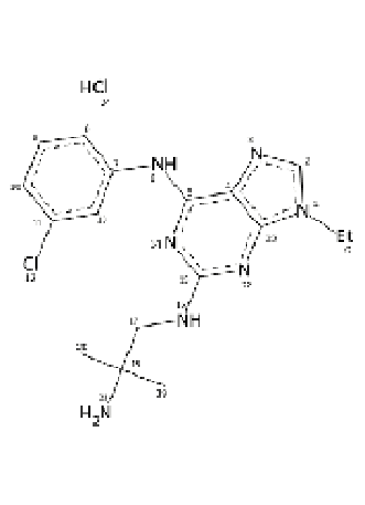 CCn1cnc2c(Nc3cccc(Cl)c3)nc(NCC(C)(C)N)nc21.Cl